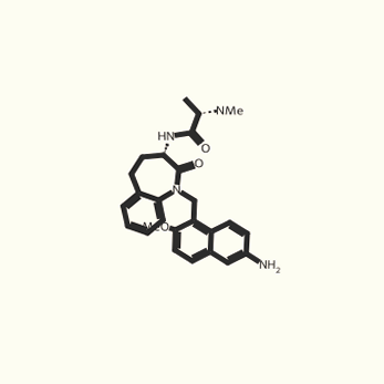 CN[C@@H](C)C(=O)N[C@H]1CCc2ccccc2N(Cc2c(OC)ccc3cc(N)ccc23)C1=O